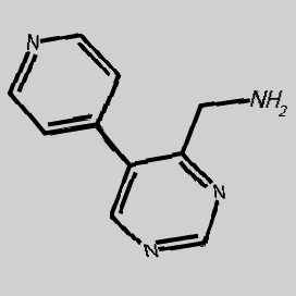 NCc1ncncc1-c1ccncc1